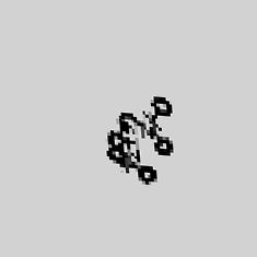 C1=CC(c2nc(-c3ccccc3)nc(-c3ccccc3)n2)NC(c2ccc3ccc4sc(-c5ccccc5)nc4c3c2)=C1